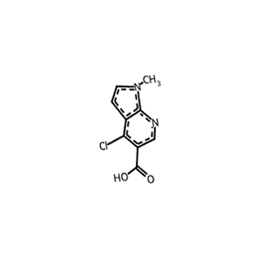 Cn1ccc2c(Cl)c(C(=O)O)cnc21